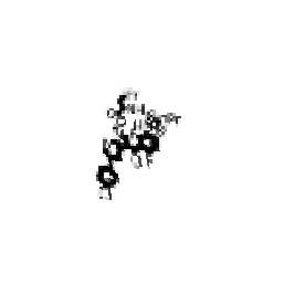 CCCS(=O)(=O)Nc1ccc(F)c(C(=O)c2cn(COC(=O)[C@@H](N)CC(C)C)c3ncc(-c4ccc(Cl)cc4)cc23)c1F